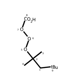 CC(C)(C)CC(C)(C)OOOC(=O)O